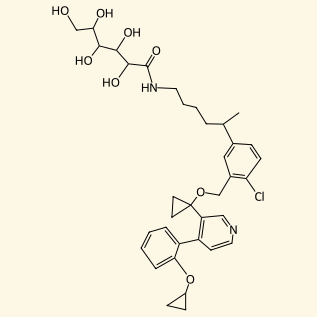 CC(CCCCNC(=O)C(O)C(O)C(O)C(O)CO)c1ccc(Cl)c(COC2(c3cnccc3-c3ccccc3OC3CC3)CC2)c1